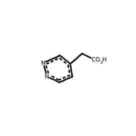 O=C(O)Cc1ccnnc1